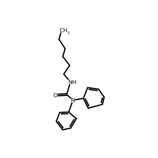 CCCCCCNC(=O)N(c1ccccc1)c1ccccc1